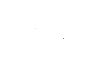 Nc1ncc(I)c2c1c(-c1ccc(C(=O)Nc3ccccc3)cc1)nn2[C@@H]1CCCNC1